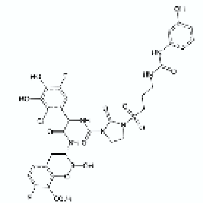 O=C(NCCCS(=O)(=O)N1CCN(C(=O)NC(C(=O)N[C@H]2Cc3ccc(F)c(C(=O)O)c3OB2O)c2cc(F)c(O)c(O)c2Cl)C1=O)Nc1cccc(O)c1